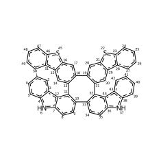 c1ccc2c(c1)[nH]c1ccc3c(c12)-c1cc2c(cc1-c1cc4sc5ccccc5c4cc1-c1c-3ccc3[nH]c4ccccc4c13)sc1ccccc12